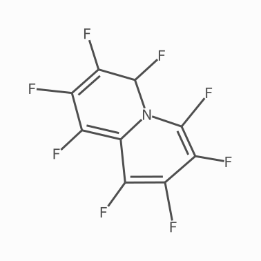 FC1=C(F)C2=C(F)C(F)=C(F)C(F)N2C(F)=C1F